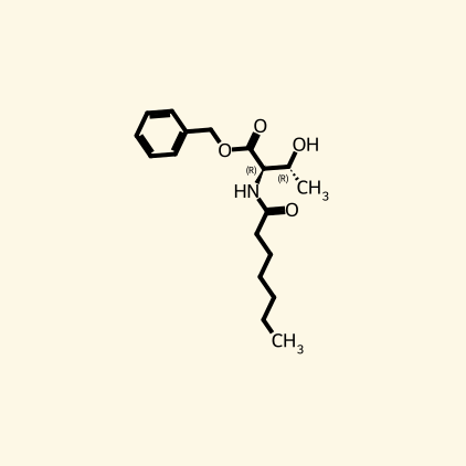 CCCCCCC(=O)N[C@@H](C(=O)OCc1ccccc1)[C@@H](C)O